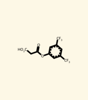 O=C(O)CC(=O)Oc1cc(C(F)(F)F)cc(C(F)(F)F)c1